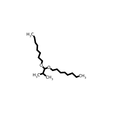 CCCCCCCCOC(OCCCCCCCC)C(C)C